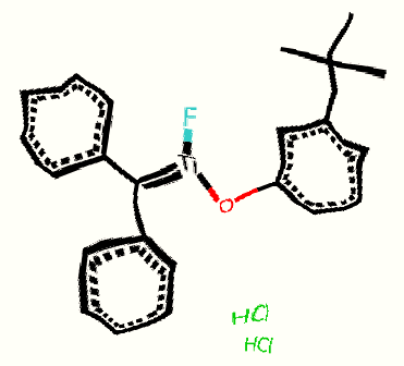 CC(C)(C)c1cccc([O][Ti]([F])=[C](c2ccccc2)c2ccccc2)c1.Cl.Cl